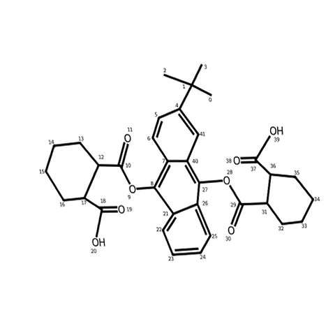 CC(C)(C)c1ccc2c(OC(=O)C3CCCCC3C(=O)O)c3ccccc3c(OC(=O)C3CCCCC3C(=O)O)c2c1